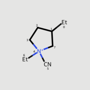 CCC1CC[N+](C#N)(CC)C1